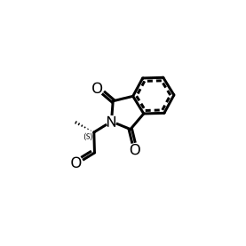 C[C@@H](C=O)N1C(=O)c2ccccc2C1=O